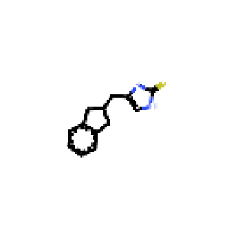 S=C1[N]C(CC2Cc3ccccc3C2)=CN1